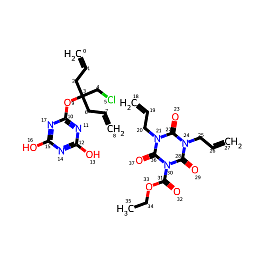 C=CCC(CCl)(CC=C)Oc1nc(O)nc(O)n1.C=CCn1c(=O)n(CC=C)c(=O)n(C(=O)OCC)c1=O